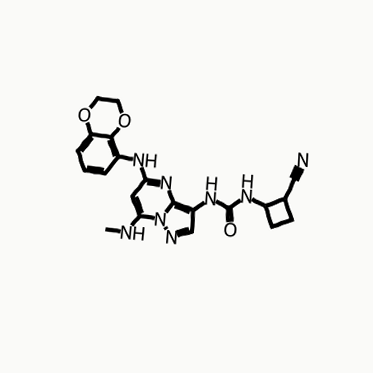 CNc1cc(Nc2cccc3c2OCCO3)nc2c(NC(=O)NC3CCC3C#N)cnn12